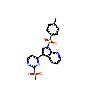 Cc1ccc(S(=O)(=O)n2cc(-c3ccnc(S(C)(=O)=O)n3)c3cccnc32)cc1